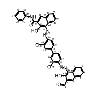 O=Cc1cc2ccccc2c(N=Nc2ccc(-c3ccc(N=Nc4c(O)c(C(=O)Nc5ccccc5)cc5ccccc45)c(Cl)c3)cc2Cl)c1O